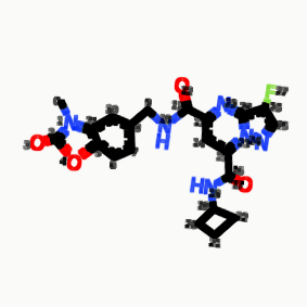 Cn1c(=O)oc2ccc(CNC(=O)c3cc(C(=O)NC4CCC4)n4ncc(F)c4n3)cc21